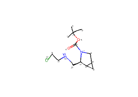 CC(C)(C)OC(=O)N1CC2CC2[C@H]1CNCCCl